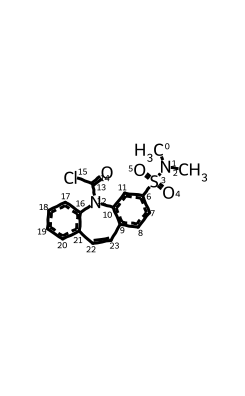 CN(C)S(=O)(=O)c1ccc2c(c1)N(C(=O)Cl)c1ccccc1C=C2